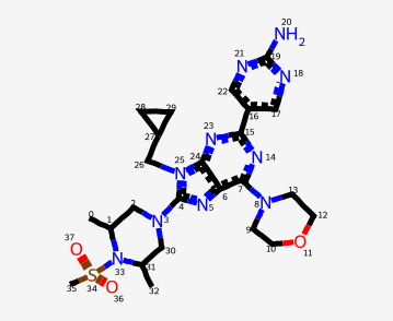 CC1CN(c2nc3c(N4CCOCC4)nc(-c4cnc(N)nc4)nc3n2CC2CC2)CC(C)N1S(C)(=O)=O